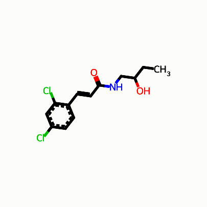 CCC(O)CNC(=O)/C=C/c1ccc(Cl)cc1Cl